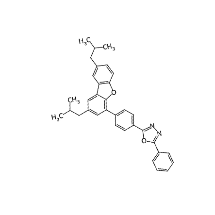 CC(C)Cc1ccc2oc3c(-c4ccc(-c5nnc(-c6ccccc6)o5)cc4)cc(CC(C)C)cc3c2c1